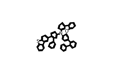 c1ccc(-c2ccccc2-c2ccc(N(c3ccc(-c4ccc5sc6ccccc6c5c4)c(-c4ccccc4)c3)c3cccc4c3oc3ccccc34)cc2)cc1